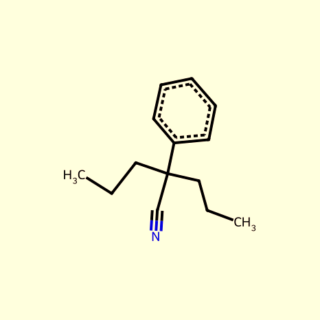 CCCC(C#N)(CCC)c1ccccc1